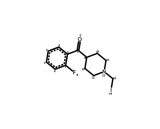 O=C(c1ccccc1F)C1CCN(CI)CC1